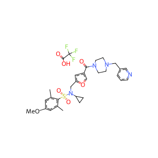 COc1cc(C)c(S(=O)(=O)N(Cc2cc(C(=O)N3CCN(Cc4cccnc4)CC3)co2)C2CC2)c(C)c1.O=C(O)C(F)(F)F